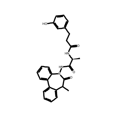 CC1C(=O)N(NC(=O)[C@H](C)NC(=O)CCc2cccc(O)c2)c2ccccc2-c2ccccc21